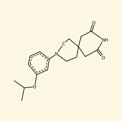 CC(C)Oc1cccc(N2CCC3(CC2)CC(=O)NC(=O)C3)c1